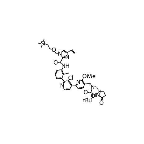 C=Cc1cn(COCC[Si](C)(C)C)c(C(=O)Nc2cccc(-c3nccc(-c4ccc(CN(C[C@@H]5CCC(=O)N5)C(=O)OC(C)(C)C)c(OC)n4)c3Cl)c2C)n1